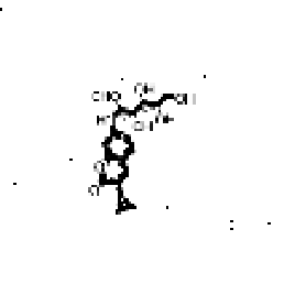 O=C[C@H](Nc1ccc2cc(C3CC3)c(=O)oc2c1)[C@@H](O)[C@H](O)[C@H](O)CO